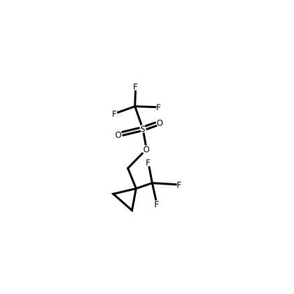 O=S(=O)(OCC1(C(F)(F)F)CC1)C(F)(F)F